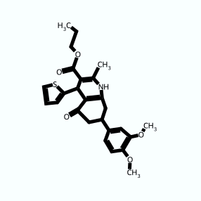 CCCOC(=O)C1=C(C)NC2=C(C(=O)CC(c3ccc(OC)c(OC)c3)C2)C1c1cccs1